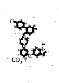 CC1(C)CCC(CN2CCN(c3ccc(C(=O)O)c(Oc4cnc5[nH]ccc5c4)c3)CC2)=C(c2ccc(Cl)cc2)C1